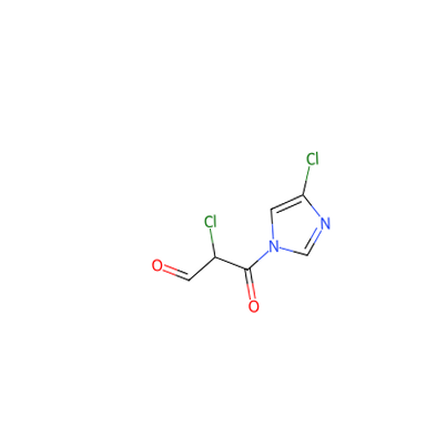 O=CC(Cl)C(=O)n1cnc(Cl)c1